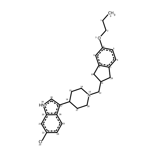 CCCOc1ccc2c(c1)CC(CN1CCC(c3c[nH]c4cc(Cl)ccc34)CC1)C2